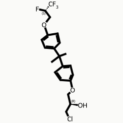 CC(C)(c1ccc(OC[C@@H](O)CCl)cc1)c1ccc(OC[C@H](F)C(F)(F)F)cc1